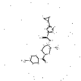 C[C@@H]1CN(C(=O)[C@H]2CC[C@H](N)CC2)CC[C@@H]1NC(=O)c1cc(C2CC2)on1